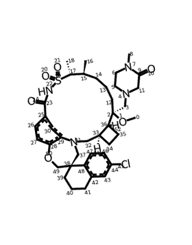 CO[C@]1(CN2CCN(C)C(=O)C2)CCC[C@H](C)[C@@H](C)S(=O)(=O)NC(=O)c2ccc3c(c2)N(C[C@@H]2CC[C@H]21)C[C@@]1(CCCc2cc(Cl)ccc21)CO3